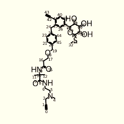 C#CCN(C)CCNC(=O)C(C)(C)NC(=O)CCOCc1ccc(Cc2cc([C@@H]3O[C@H](SC)[C@@H](O)[C@H](O)[C@H]3O)ccc2C#C)cc1